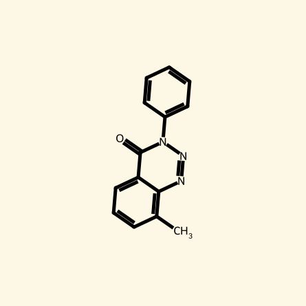 Cc1cccc2c(=O)n(-c3ccccc3)nnc12